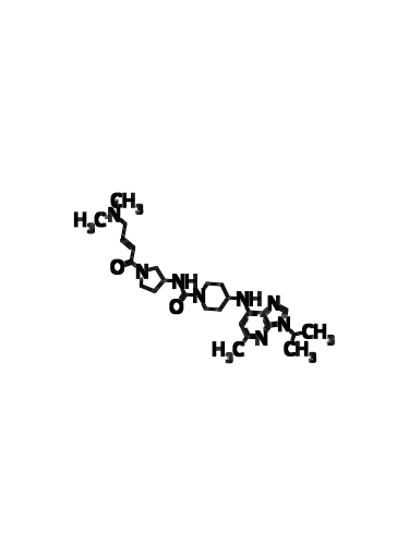 Cc1cc(NC2CCN(C(=O)NC3CCN(C(=O)C=CCN(C)C)C3)CC2)c2ncn(C(C)C)c2n1